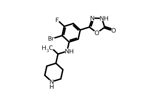 CC(Nc1cc(-c2n[nH]c(=O)o2)cc(F)c1Br)C1CCNCC1